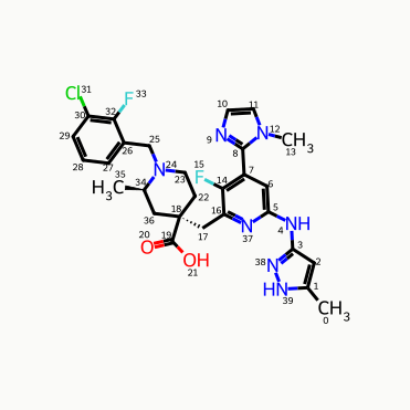 Cc1cc(Nc2cc(-c3nccn3C)c(F)c(C[C@@]3(C(=O)O)CCN(Cc4cccc(Cl)c4F)[C@H](C)C3)n2)n[nH]1